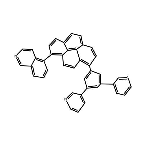 c1cncc(-c2cc(-c3cccnc3)cc(-c3ccc4ccc5ccc(-c6cccc7cnccc67)c6ccc3c4c56)c2)c1